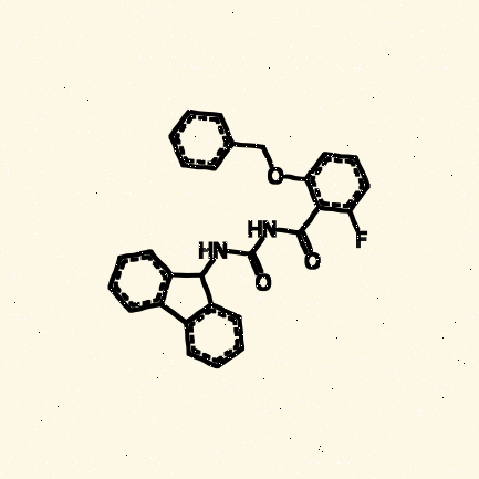 O=C(NC(=O)c1c(F)cccc1OCc1ccccc1)NC1c2ccccc2-c2ccccc21